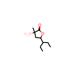 BC1(C)CC(C(CC)CC)OC1=O